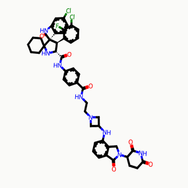 O=C1CCC(N2Cc3c(NC4CN(CCNC(=O)c5ccc(NC(=O)[C@@H]6NC7(CCCCC7)[C@@]7(C(=O)Nc8cc(Cl)ccc87)[C@H]6c6cccc(Cl)c6F)cc5)C4)cccc3C2=O)C(=O)N1